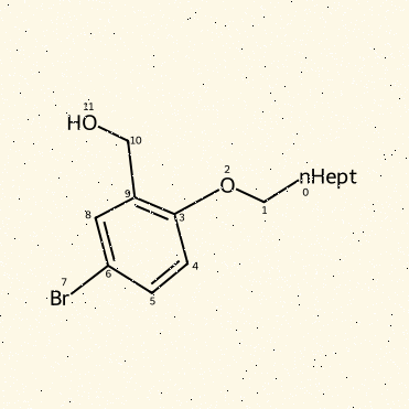 CCCCCCCCOc1ccc(Br)cc1CO